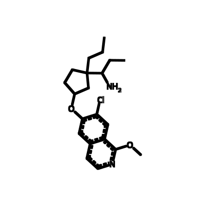 CCCC1(C(N)CC)CCC(Oc2cc3ccnc(OC)c3cc2Cl)C1